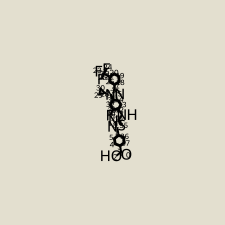 O=C(O)c1ccc(-c2nnc(Nc3cc4nc(-c5cccc(C(F)(F)F)c5)n(C5CC5)c4cc3F)s2)cc1